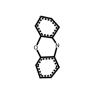 [c]1ccc2c(c1)Oc1ccccc1[N]2